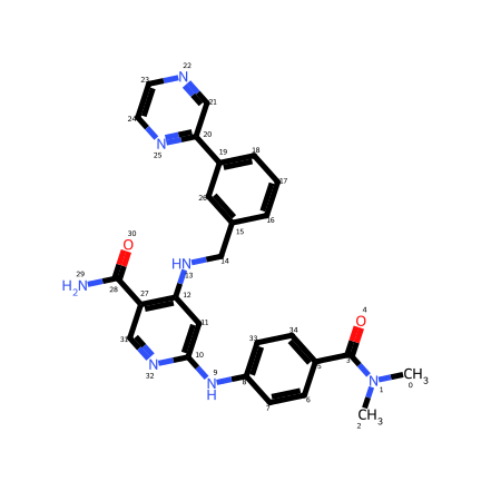 CN(C)C(=O)c1ccc(Nc2cc(NCc3cccc(-c4cnccn4)c3)c(C(N)=O)cn2)cc1